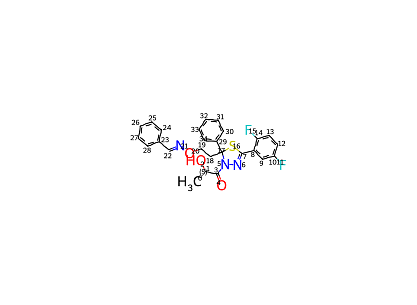 C[C@H](O)C(=O)N1N=C(c2cc(F)ccc2F)SC1(CCON=Cc1ccccc1)c1ccccc1